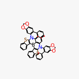 Cc1cc2c3c(c1)N(c1cc4c(cc1-c1ccccc1)OCO4)c1sc4ccccc4c1B3c1c(sc3ccccc13)N2c1cc2c(cc1-c1ccccc1)OCO2